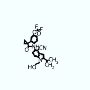 C=C(C)c1cc2c(C#N)c(NC(=O)C3(c4ccc5c(c4)OC(F)(F)O5)CC3)ccc2n1CCO